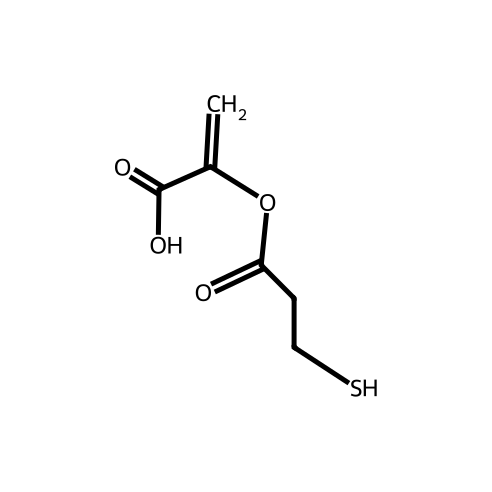 C=C(OC(=O)CCS)C(=O)O